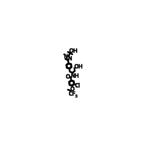 CC(Oc1ccc(C(=O)NC(CCO)Cc2ccc(-c3cn(C)c(C(C)(C)O)n3)cc2)cc1Cl)C(F)(F)F